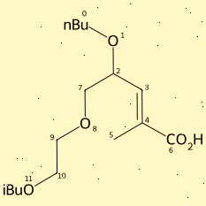 CCCCOC(C=C(C)C(=O)O)COCCOCC(C)C